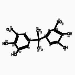 O=[N+]([O-])c1cc(C(c2cc(O)c(O)c([N+](=O)[O-])c2)(C(F)(F)F)C(F)(F)F)cc(O)c1O